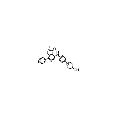 O=C1NCc2c(-c3ccncc3)ncc(Nc3ccc(N4CCC(O)CC4)cn3)c21